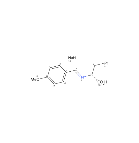 COc1ccc(C=N[C@H](CC(C)C)C(=O)O)cc1.[NaH]